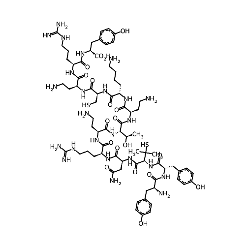 C[C@@H](O)[C@H](NC(=O)[C@H](CCN)NC(=O)[C@H](CCCNC(=N)N)NC(=O)[C@H](CC(N)=O)NC(=O)[C@@H](NC(=O)[C@H](Cc1ccc(O)cc1)NC(=O)[C@@H](N)Cc1ccc(O)cc1)C(C)(C)S)C(=O)N[C@H](CCN)C(=O)N[C@@H](CCCCN)C(=O)N[C@@H](CS)C(=O)N[C@@H](CCN)C(=O)N[C@@H](CCCNC(=N)N)C(=O)N[C@@H](Cc1ccc(O)cc1)C(=O)O